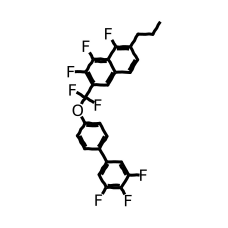 CCCc1ccc2cc(C(F)(F)Oc3ccc(-c4cc(F)c(F)c(F)c4)cc3)c(F)c(F)c2c1F